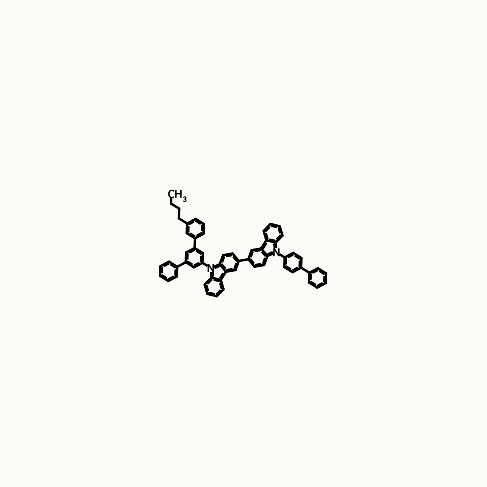 CCCCc1cccc(-c2cc(-c3ccccc3)cc(-n3c4ccccc4c4cc(-c5ccc6c(c5)c5ccccc5n6-c5ccc(-c6ccccc6)cc5)ccc43)c2)c1